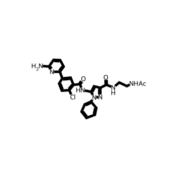 CC(=O)NCCNC(=O)c1cc(NC(=O)c2cc(-c3cccc(N)n3)ccc2Cl)n(-c2ccccc2)n1